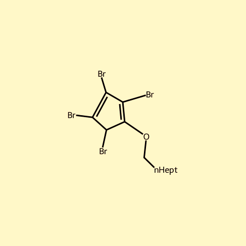 CCCCCCCCOC1=C(Br)C(Br)=C(Br)C1Br